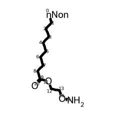 CCCCCCCCCCCCCCCCCC(=O)OCCON